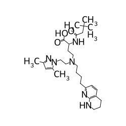 Cc1cc(C)n(CCN(CCCCc2ccc3c(n2)NCCC3)CCC(NC(=O)CC(C)(C)C)C(=O)O)n1